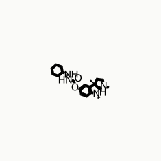 CN1CC[C@@]2(C)c3cc(OC(=O)NNC4CCCCC4)ccc3N(C)[C@@H]12